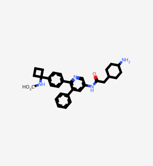 NC1CCC(CC(=O)Nc2cnc(-c3ccc(C4(NC(=O)O)CCC4)cc3)c(-c3ccccc3)c2)CC1